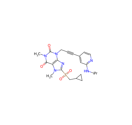 CC(C)Nc1cc(C#CCn2c(=O)n(C)c(=O)c3c2nc(S(=O)(=O)CC2CC2)n3C)ccn1